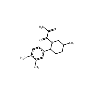 Cc1ccc(C2CCC(C)CN2C(=O)C(N)=O)cc1C